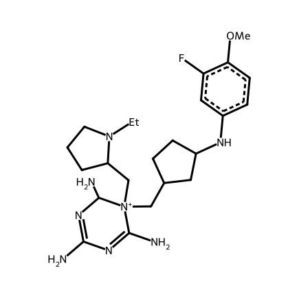 CCN1CCCC1C[N+]1(CC2CCC(Nc3ccc(OC)c(F)c3)C2)C(N)=NC(N)=NC1N